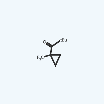 CC(C)(C)C(=O)C1(C(F)(F)F)CC1